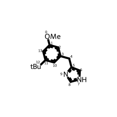 COc1cc(Cc2c[nH]cn2)cc(C(C)(C)C)c1